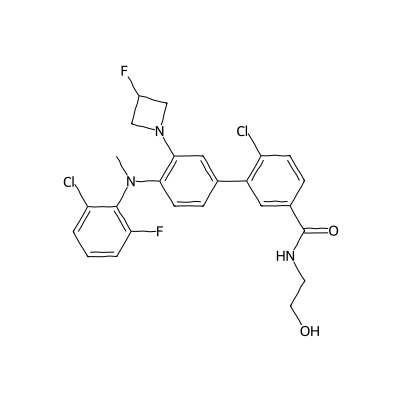 CN(c1ccc(-c2cc(C(=O)NCCO)ccc2Cl)cc1N1CC(F)C1)c1c(F)cccc1Cl